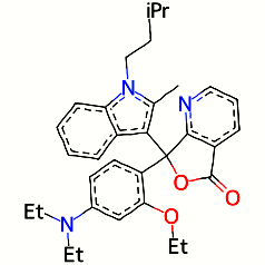 CCOc1cc(N(CC)CC)ccc1C1(c2c(C)n(CCC(C)C)c3ccccc23)OC(=O)c2cccnc21